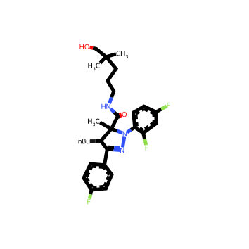 CCCCC1C(c2ccc(F)cc2)=NN(c2ccc(F)cc2F)C1(C)C(=O)NCCCC(C)(C)CO